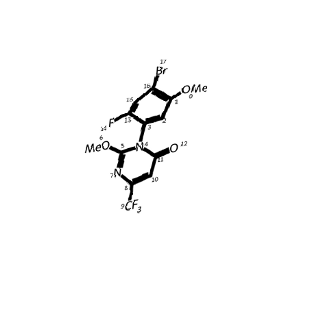 COc1cc(-n2c(OC)nc(C(F)(F)F)cc2=O)c(F)cc1Br